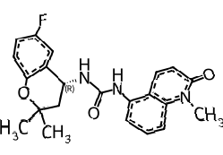 Cn1c(=O)ccc2c(NC(=O)N[C@@H]3CC(C)(C)Oc4ccc(F)cc43)cccc21